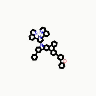 c1ccc(-c2ccc3c(c2)c2cc4c5ccc(-c6ccc7oc8ccccc8c7c6)cc5c5ccccc5c4cc2n3-c2cc(-c3cccc4cccnc34)nc(-c3cccc4cccnc34)c2)cc1